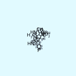 CC1=C(C(=O)OCC(C)C)C(c2ccccc2[N+](=O)[O-])C(C(=O)OC(Cc2ccc(F)cc2)N2CCNCC2)=C(C)N1